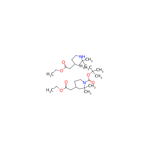 CCOC(=O)CC1CCN(C(=O)OC(C)(C)C)C(C)(C)C1.CCOC(=O)CC1CCNC(C)(C)C1